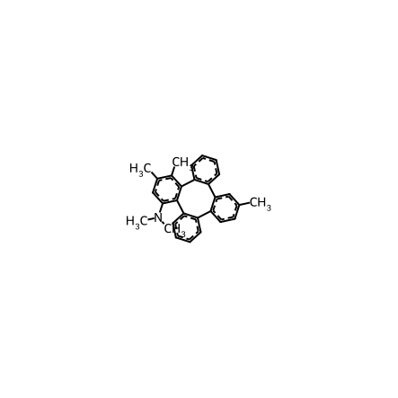 Cc1ccc2c(c1)-c1ccccc1-c1c(C)c(C)cc(N(C)C)c1-c1ccccc1-2